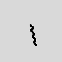 CCCCC[N]SC